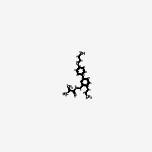 C=C(C)C(=O)OCc1cc(-c2ccc(OCCO)cc2)ccc1CCC